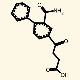 NC(=O)c1cc(C(=O)CCC(=O)O)ccc1-c1ccccc1